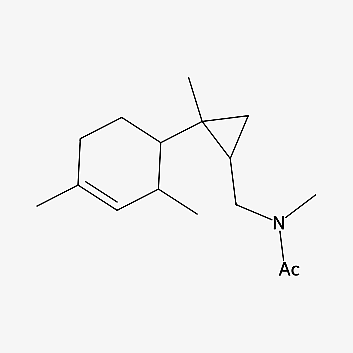 CC(=O)N(C)CC1CC1(C)C1CCC(C)=CC1C